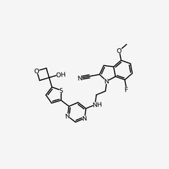 COc1ccc(F)c2c1cc(C#N)n2CCNc1cc(-c2ccc(C3(O)COC3)s2)ncn1